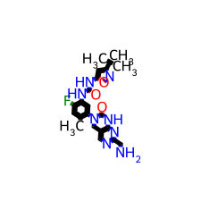 Cc1cc(F)c(NC(=O)Nc2cc(C(C)(C)C)no2)cc1N1Cc2cnc(CN)nc2NC1=O